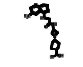 CC(C)[C@H](O)[C@H]1CC[C@H](N2CC(NC(=O)CNc3nccc4ncc(C(F)(F)F)cc34)C2)CC1